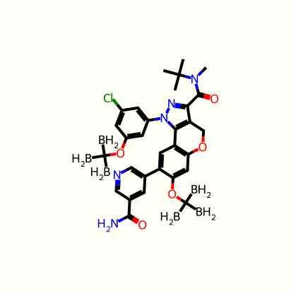 BC(B)(B)Oc1cc(Cl)cc(-n2nc(C(=O)N(C)C(C)(C)C)c3c2-c2cc(-c4cncc(C(N)=O)c4)c(OC(B)(B)B)cc2OC3)c1